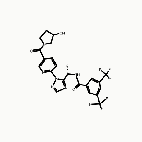 C[C@H](NC(=O)c1cc(C(F)(F)F)cc(C(F)(F)F)c1)c1ncnn1-c1ccc(C(=O)N2CCC(O)C2)cn1